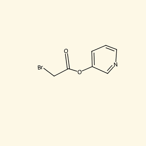 O=C(CBr)Oc1cccnc1